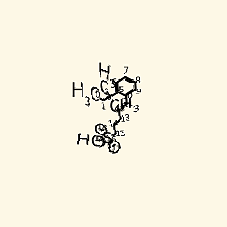 CCC(C)(C)c1ccccc1CCCCCS(=O)(=O)O